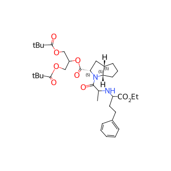 CCOC(=O)C(CCc1ccccc1)NC(C)C(=O)N1[C@H](C(=O)OC(COC(=O)C(C)(C)C)COC(=O)C(C)(C)C)C[C@@H]2CCC[C@@H]21